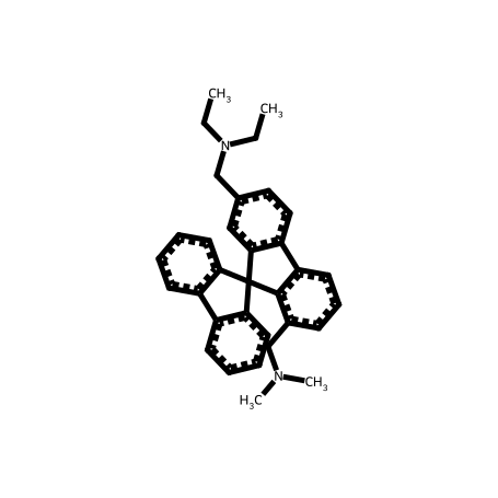 CCN(CC)Cc1ccc2c(c1)C1(c3ccccc3-c3ccccc31)c1c(CN(C)C)cccc1-2